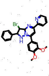 COc1ccc(C2=CC(c3ccccn3)=NC3C(Br)C(c4ccccc4)NN23)cc1OC